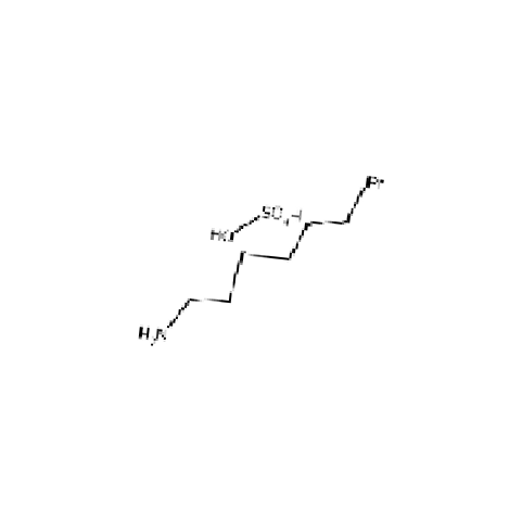 CC(C)CCCCCCN.O=S(=O)(O)O